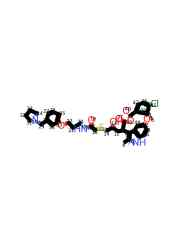 COc1ccc2[nH]c(C)c(C(CC(O)CSCC(=O)NCCCOc3cccc(CN4CCCC4)c3)C(=O)OC(=O)c3ccc(Cl)cc3)c2c1